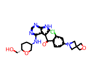 O=C(c1ccc(N2CC3(COC3)C2)cc1Cl)c1c[nH]c2ncnc(N[C@@H]3CC[C@@H](CO)OC3)c12